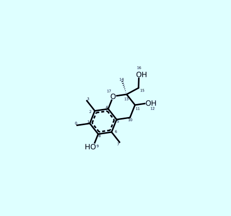 Cc1c(C)c2c(c(C)c1O)CC(O)[C@](C)(CO)O2